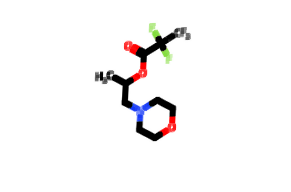 CC(CN1CCOCC1)OC(=O)C(F)(F)C(F)(F)F